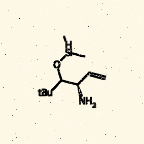 C=C[C@@H](N)C(O[SiH](C)C)C(C)(C)C